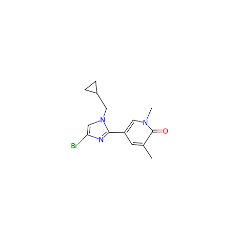 Cc1cc(-c2nc(Br)cn2CC2CC2)cn(C)c1=O